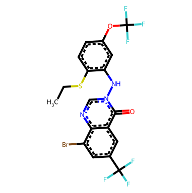 CCSc1ccc(OC(F)(F)F)cc1Nn1cnc2c(Br)cc(C(F)(F)F)cc2c1=O